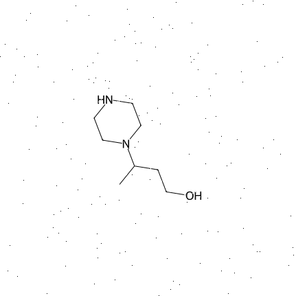 CC(CCO)N1CCNCC1